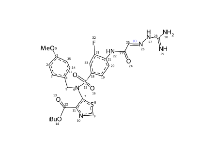 COc1ccc(CN(c2scnc2C(=O)OCC(C)C)S(=O)(=O)c2ccc(NC(=O)/C=N/NC(=N)N)c(F)c2)cc1